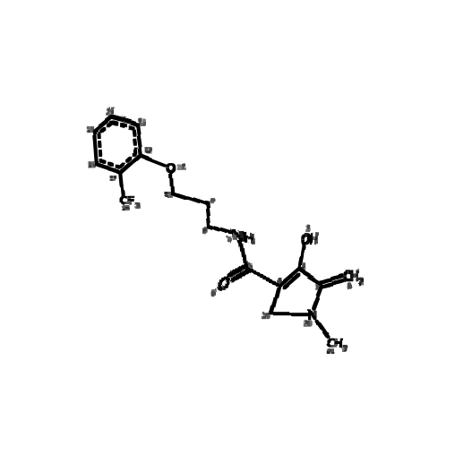 C=C1C(O)=C(C(=O)NCCCOc2ccccc2C(F)(F)F)CN1C